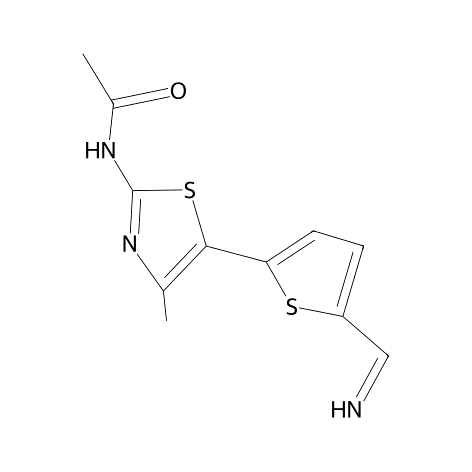 CC(=O)Nc1nc(C)c(-c2ccc(C=N)s2)s1